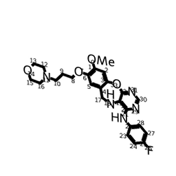 COc1cc2c(cc1OCCCN1CCOCC1)CNc1c(Nc3ccc(F)cc3)ncnc1O2